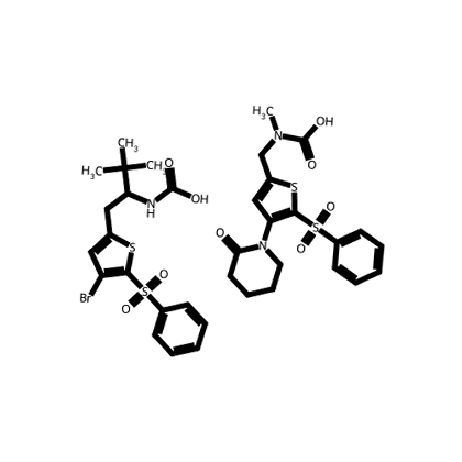 CC(C)(C)C(Cc1cc(Br)c(S(=O)(=O)c2ccccc2)s1)NC(=O)O.CN(Cc1cc(N2CCCCC2=O)c(S(=O)(=O)c2ccccc2)s1)C(=O)O